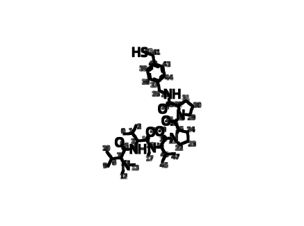 CC(C)C(NC(=O)C(C(C)C)N(C)C)C(=O)N(C)C(C(=O)N1CCCC1C(=O)N1CCCC1C(=O)NCc1ccc(CS)cc1)C(C)C